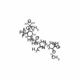 CCOc1cc(-c2ncc(NC(=O)Nc3ccc(OC4(C)COC4)c(C(F)(F)F)c3)c(C)n2)c[nH]c1=O